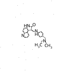 CCN(CC)Cc1ccc(NC=C2C(=O)Nc3ccc4ncccc4c32)cc1